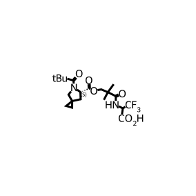 CC(C)(C)C(=O)N1CC2(CC2)C[C@H]1C(=O)OCC(C)(C)C(=O)NC(C(=O)O)C(F)(F)F